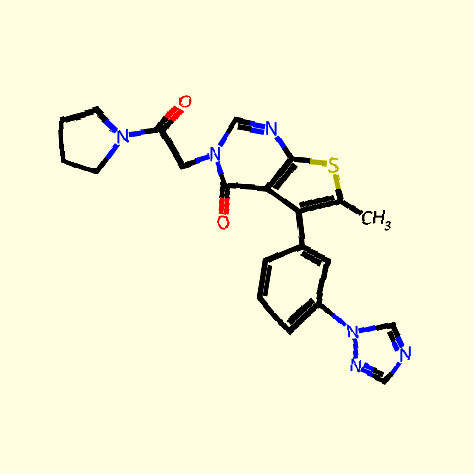 Cc1sc2ncn(CC(=O)N3CCCC3)c(=O)c2c1-c1cccc(-n2cncn2)c1